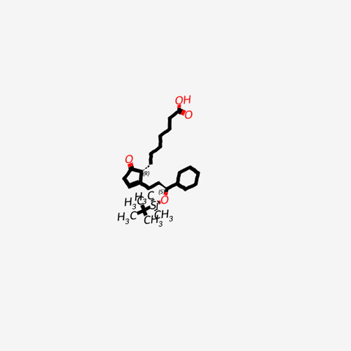 CC(C)(C)[Si](C)(C)O[C@@H](CCC1=CCC(=O)[C@@H]1CCCCCCC(=O)O)C1CCCCC1